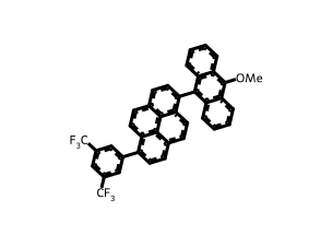 COc1c2ccccc2c(-c2ccc3ccc4c(-c5cc(C(F)(F)F)cc(C(F)(F)F)c5)ccc5ccc2c3c54)c2ccccc12